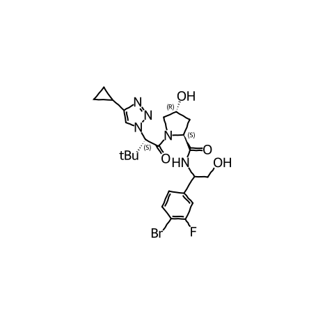 CC(C)(C)[C@@H](C(=O)N1C[C@H](O)C[C@H]1C(=O)NC(CO)c1ccc(Br)c(F)c1)n1cc(C2CC2)nn1